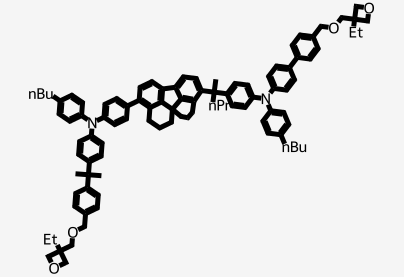 CCCCc1ccc(N(c2ccc(-c3ccc4c5c3CCCC53CCCc5c(C(C)(CCC)c6ccc(N(c7ccc(CCCC)cc7)c7ccc(-c8ccc(COCC9(CC)COC9)cc8)cc7)cc6)ccc-4c53)cc2)c2ccc(C(C)(C)c3ccc(COCC4(CC)COC4)cc3)cc2)cc1